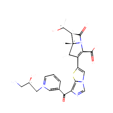 C[C@@H](O)[C@H]1C(=O)N2C(C(=O)[O-])=C(c3cn4cnc(C(=O)c5ccc[n+](C[C@H](O)CN)c5)c4s3)[C@H](C)[C@H]12